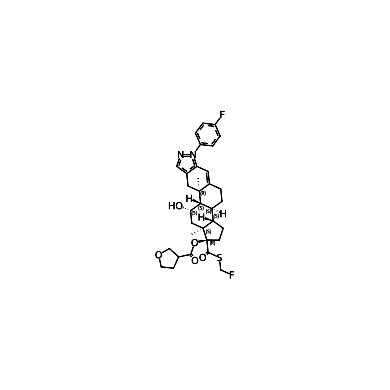 C[C@]12Cc3cnn(-c4ccc(F)cc4)c3C=C1CC[C@@H]1[C@@H]2[C@@H](O)C[C@@]2(C)[C@H]1CC[C@]2(OC(=O)C1CCOC1)C(=O)SCF